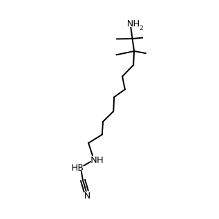 CC(C)(N)C(C)(C)CCCCCCCCNBC#N